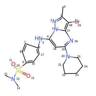 Cc1nn2c(Nc3ccc(S(=O)(=O)N(C)C)cc3)cc(N3CCCCC3)nc2c1Br